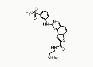 CC(=O)NCCNC(=O)c1cc2c(ccc3cnc(Nc4cccc(S(C)(=O)=O)c4)nc32)s1